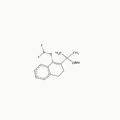 COC(C)(C)C1=C(OB(F)F)c2ccccc2CC1